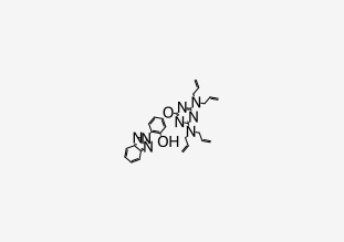 C=CCN(CC=C)c1nc(Oc2ccc(-n3nc4ccccc4n3)c(O)c2)nc(N(CC=C)CC=C)n1